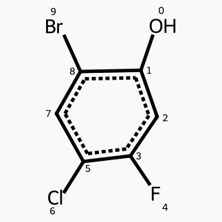 Oc1cc(F)c(Cl)cc1Br